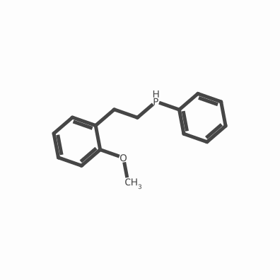 COc1ccccc1CCPc1ccccc1